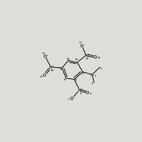 CN(C)c1c([N+](=O)[O-])cc([N+](=O)[O-])cc1[N+](=O)[O-]